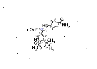 CCCCCCCC/C=C(/CNc1ccc(C(N)=O)cc1)c1ccc2c(c1)C(C)(C)CCC2(C)C